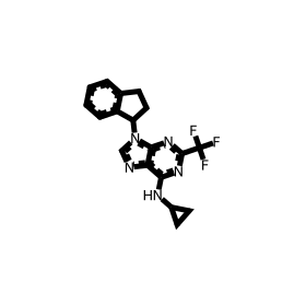 FC(F)(F)c1nc(NC2CC2)c2ncn(C3CCc4ccccc43)c2n1